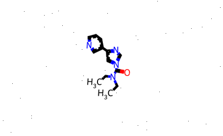 CCN(CC)C(=O)n1cnc(-c2cccnc2)c1